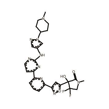 CN1CCC(n2cc(Nc3nccc(-c4cccc(-c5cc(C6(O)C(=O)N(C)CC6(F)F)on5)n4)n3)cn2)CC1